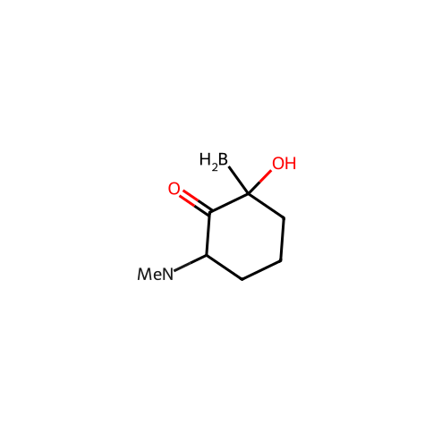 BC1(O)CCCC(NC)C1=O